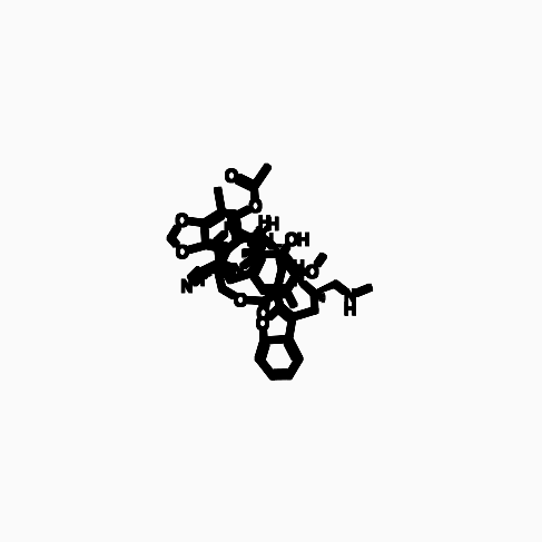 CNC[C@H]1Cc2c(oc3ccccc23)[C@@]2(CS[C@@H]3c4c(OC(C)=O)c(C)c5c(c4[C@H](COC2=O)N2[C@@H]3[C@@H]3c4c(cc(C)c(OC)c4O)CC2(C#N)CN3C)OCO5)N1